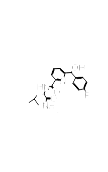 CC(C)C[C@H](NC(=O)c1cccc(C(O)c2ccc(F)cc2)n1)C(N)=O